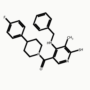 Cc1c(S)ncc(C(=O)N2CCC(c3ccc(F)cc3)CC2)c1NCc1ccccc1